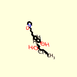 CC#CC[C@H](C)[C@@H](O)/C=C/[C@@H]1[C@H]2CC(=CCCCC(=O)N3CCCCC3)C[C@H]2C[C@H]1O